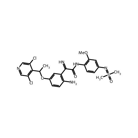 COc1cc(N=S(C)(C)=O)ccc1NC(=O)C(=N)c1cc(OC(C)c2c(Cl)cncc2Cl)ccc1N